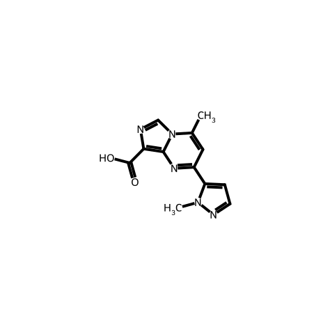 Cc1cc(-c2ccnn2C)nc2c(C(=O)O)ncn12